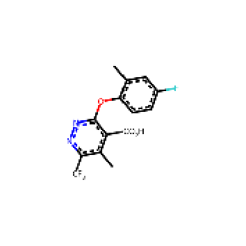 Cc1cc(F)ccc1Oc1nnc(C(F)(F)F)c(C)c1C(=O)O